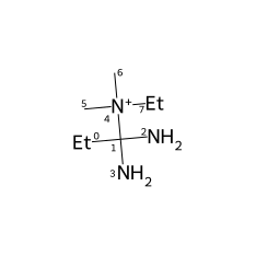 CCC(N)(N)[N+](C)(C)CC